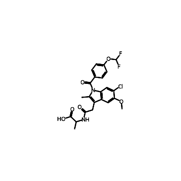 COc1cc2c(CC(=O)NC(C)C(=O)O)c(C)n(C(=O)c3ccc(OC(F)F)cc3)c2cc1Cl